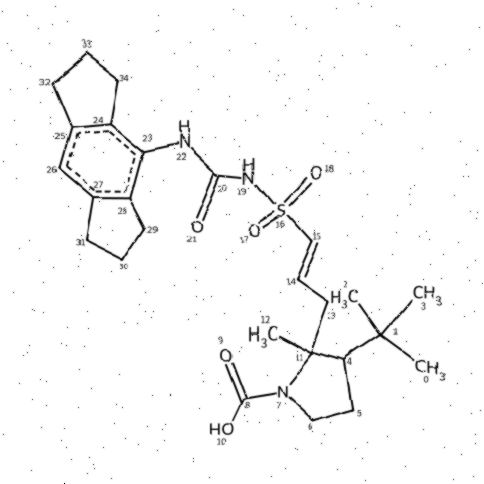 CC(C)(C)C1CCN(C(=O)O)C1(C)CC=CS(=O)(=O)NC(=O)Nc1c2c(cc3c1CCC3)CCC2